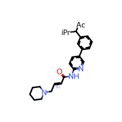 CC(=O)C(c1cccc(-c2ccc(NC(=O)/C=C/CN3CCCCC3)nc2)c1)C(C)C